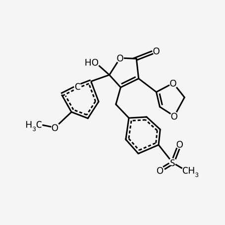 COc1ccc(C2(O)OC(=O)C(C3=COCO3)=C2Cc2ccc(S(C)(=O)=O)cc2)cc1